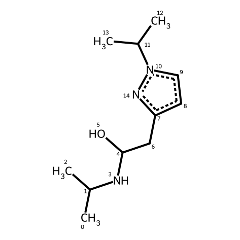 CC(C)NC(O)Cc1ccn(C(C)C)n1